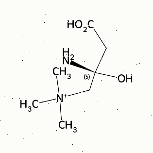 C[N+](C)(C)C[C@@](N)(O)CC(=O)O